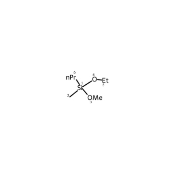 CCC[Si](C)(OC)OCC